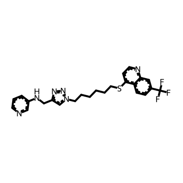 FC(F)(F)c1ccc2c(SCCCCCCn3cc(CNc4cccnc4)nn3)ccnc2c1